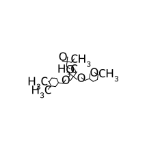 CCC(COCC1CCC(C)OC1)(COCC1CCC(C)C(C)C1)COCC1(CC)COC1